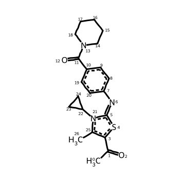 CC(=O)c1s/c(=N/c2ccc(C(=O)N3CCCCC3)cc2)n(C2CC2)c1C